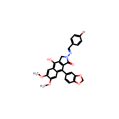 COc1cc2c(O)c3c(c(-c4ccc5c(c4)OCO5)c2cc1OC)C(=O)N(N=Cc1ccc(Br)cc1)C3